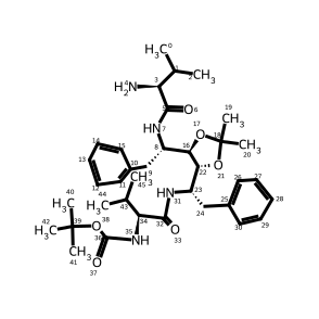 CC(C)[C@H](N)C(=O)N[C@@H](Cc1ccccc1)[C@H]1OC(C)(C)O[C@@H]1[C@H](Cc1ccccc1)NC(=O)[C@@H](NC(=O)OC(C)(C)C)C(C)C